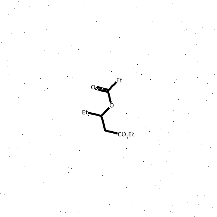 CCOC(=O)CC(CC)OC(=O)CC